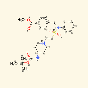 COC(=O)c1ccc(CN(c2ccccc2)S(=O)(=O)CCN2CCC(NC(=O)OC(C)(C)C)CC2)cc1